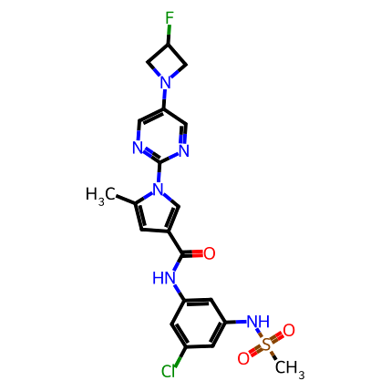 Cc1cc(C(=O)Nc2cc(Cl)cc(NS(C)(=O)=O)c2)cn1-c1ncc(N2CC(F)C2)cn1